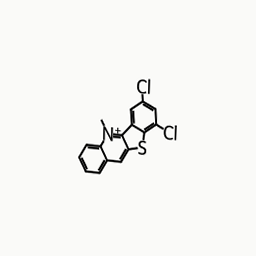 C[n+]1c2ccccc2cc2sc3c(Cl)cc(Cl)cc3c21